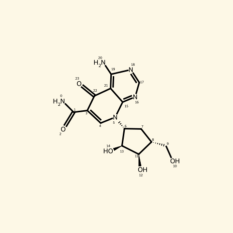 NC(=O)c1cn([C@@H]2C[C@H](CO)[C@@H](O)[C@H]2O)c2ncnc(N)c2c1=O